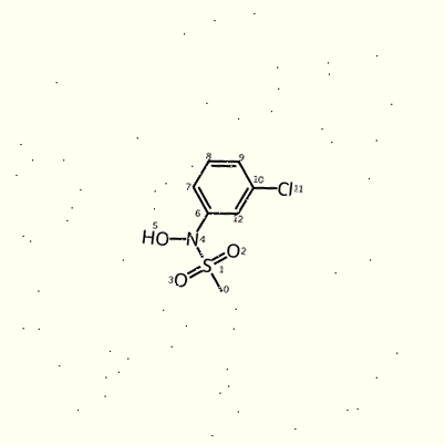 CS(=O)(=O)N(O)c1cccc(Cl)c1